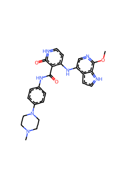 COc1ncc(Nc2cc[nH]c(=O)c2C(=O)Nc2ccc(N3CCN(C)CC3)cc2)c2cc[nH]c12